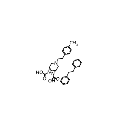 Cc1ccc(CCN2CC3CC(C2)N(C(=O)O)N3C(=O)O)cc1.c1ccc(CCc2ccccc2)cc1